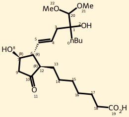 CCCCC(O)(CC=C[C@H]1[C@H](O)CC(=O)[C@@H]1CCCCCCC(=O)O)C(OC)OC